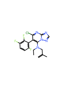 C=C(C)CN(CC)c1c(-c2c(F)ccc(F)c2F)c(Cl)nc2ncnn12